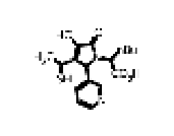 CCCCC(C(=O)O)N1C(=O)C(O)=C(C(C)S)C1c1cccnc1